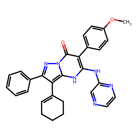 COc1ccc(-c2c(Nc3cnccn3)[nH]c3c(C4=CCCCC4)c(-c4ccccc4)nn3c2=O)cc1